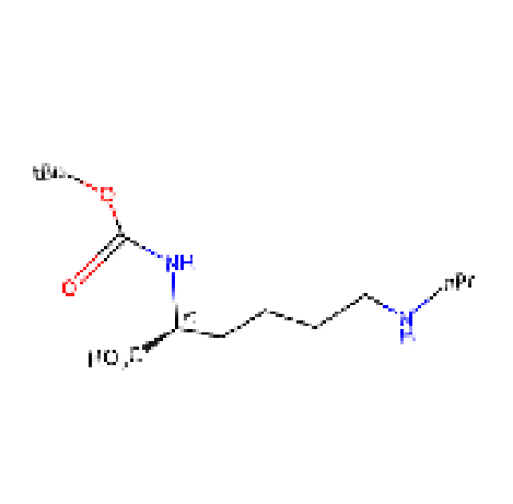 CCCNCCCC[C@H](NC(=O)OC(C)(C)C)C(=O)O